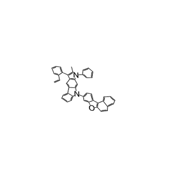 C=Cc1ccccc1-c1c(C)n(-c2ccccc2)c2cc3c(cc12)c1ccccc1n3-c1ccc2c(c1)oc1ccc3ccccc3c12